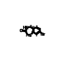 O=C1CSc2cc(Br)ccc2CN1